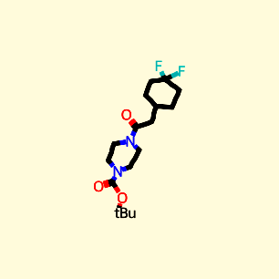 CC(C)(C)OC(=O)N1CCN(C(=O)CC2CCC(F)(F)CC2)CC1